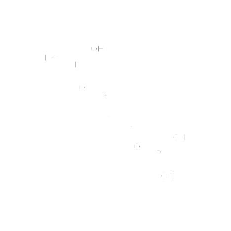 OP(O)OSSSOP(O)O